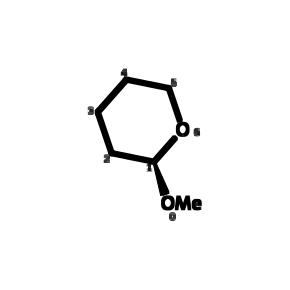 CO[C@H]1CCCCO1